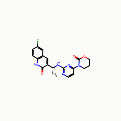 C[C@@H](Nc1nccc(N2CCCOC2=O)n1)c1cc2cc(Cl)ccc2[nH]c1=O